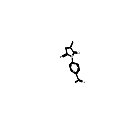 CC(=O)c1ccc(N2C(=O)CC(C)C2=O)cc1